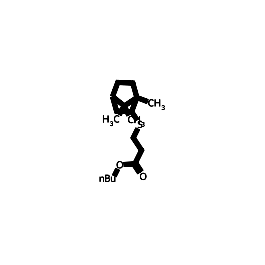 CCCCOC(=O)CCSC1CC2CCC1(C)C2(C)C